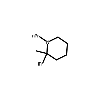 CCCN1CCCCC1(C)C(C)C